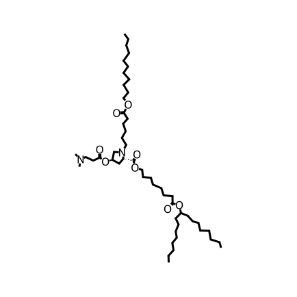 CCCCCCCCCCCOC(=O)CCCCCN1C[C@H](OC(=O)CCN(C)C)C[C@H]1C(=O)OCCCCCCCC(=O)OC(CCCCCCCC)CCCCCCCC